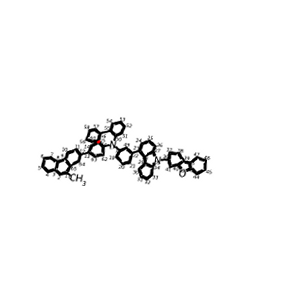 Cc1cc2ccccc2c2ccc(-c3ccc(N(c4cccc(-c5cccc6c5c5ccccc5n6-c5ccc6c(c5)oc5ccccc56)c4)c4ccccc4-c4ccccc4)cc3)cc12